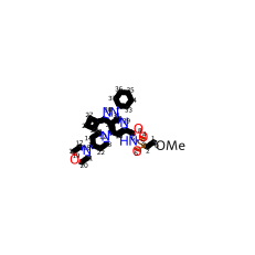 COCCS(=O)(=O)NC(=O)c1cc(N2CCC(N3CCOCC3)CC2)c2c(C3CCC3)nn(C3CCCCC3)c2n1